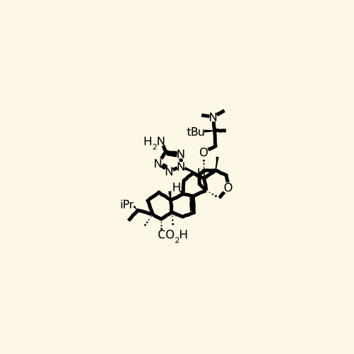 CC(C)[C@@H](C)[C@@]1(C)CC[C@]2(C)[C@H]3CC[C@@H]4[C@@]5(COC[C@@]4(C)[C@@H](OC[C@@](C)(N(C)C)C(C)(C)C)[C@H](n4nnc(N)n4)C5)C3=CC[C@@]2(C)[C@@H]1C(=O)O